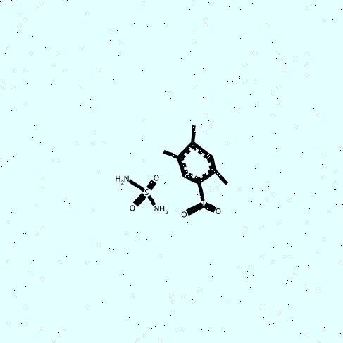 Cc1cc(C)c(I(=O)=O)cc1C.NS(N)(=O)=O